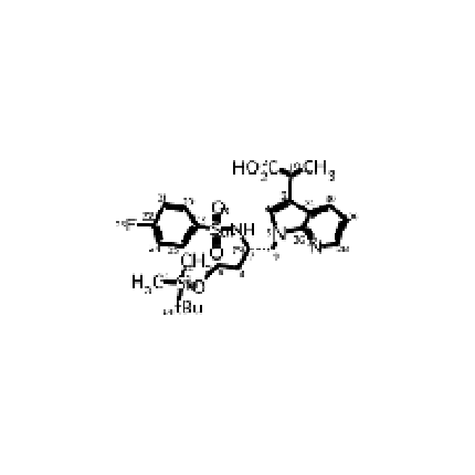 CC(C(=O)O)c1cn(C[C@H](CCO[Si](C)(C)C(C)(C)C)NS(=O)(=O)c2ccc(F)cc2)c2ncccc12